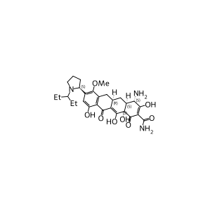 CCC(CC)N1CCC[C@H]1c1cc(O)c2c(c1OC)C[C@H]1C[C@H]3[C@H](N)C(O)=C(C(N)=O)C(=O)[C@@]3(O)C(O)=C1C2=O